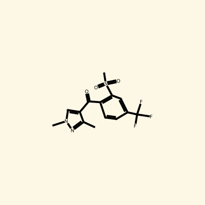 Cc1nn(C)[c]c1C(=O)c1ccc(C(F)(F)F)cc1S(C)(=O)=O